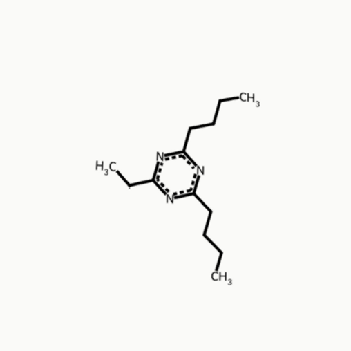 C[CH]c1nc(CCCC)nc(CCCC)n1